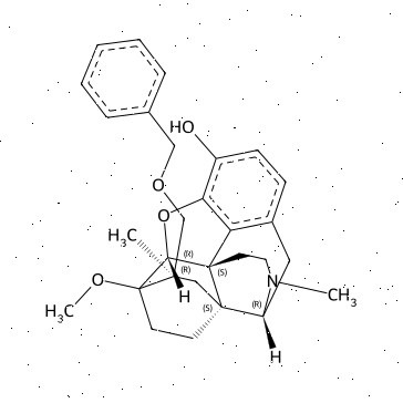 COC12CC[C@@]3(C[C@]1(C)COCc1ccccc1)[C@H]1Cc4ccc(O)c5c4[C@@]3(CCN1C)[C@H]2O5